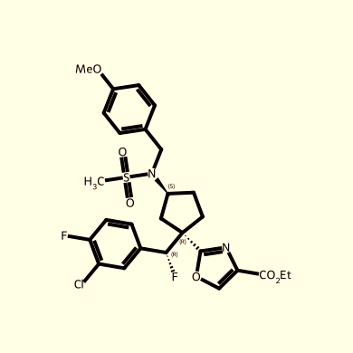 CCOC(=O)c1coc([C@@]2([C@H](F)c3ccc(F)c(Cl)c3)CC[C@H](N(Cc3ccc(OC)cc3)S(C)(=O)=O)C2)n1